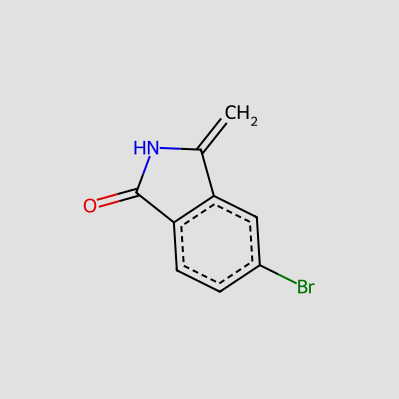 C=C1NC(=O)c2ccc(Br)cc21